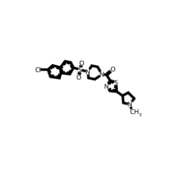 CN1CCC(c2cnc(C(=O)N3CCN(S(=O)(=O)c4ccc5cc(Cl)ccc5c4)CC3)s2)C1